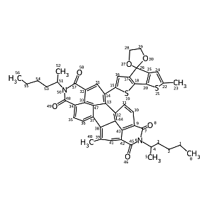 CCCCC(C)N1C(=O)c2ccc3c4c(-c5cc6c(s5)-c5sc(C)cc5C65OCCO5)cc5c6c(ccc(c7c(C)cc(c2c37)C1=O)c64)C(=O)N(C(C)CCCC)C5=O